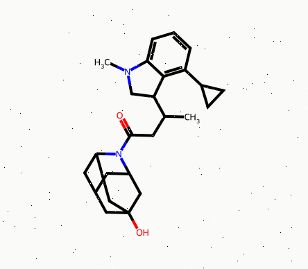 CC(CC(=O)N1C2CC3CC1CC(O)(C3)C2)C1CN(C)c2cccc(C3CC3)c21